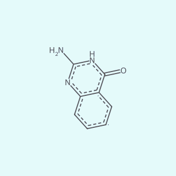 Nc1nc2cc[c]cc2c(=O)[nH]1